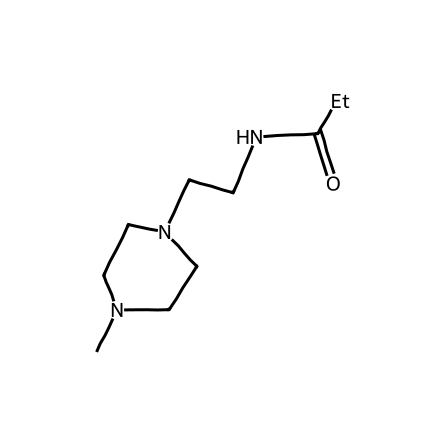 CCC(=O)NCCN1CCN(C)CC1